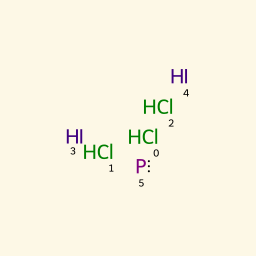 Cl.Cl.Cl.I.I.[P]